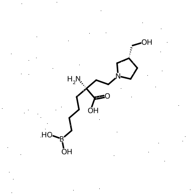 N[C@](CCCCB(O)O)(CCN1CC[C@@H](CO)C1)C(=O)O